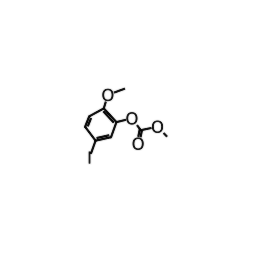 COC(=O)Oc1cc(I)ccc1OC